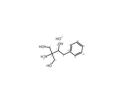 Cl.NC(CO)(CO)C(O)Cc1ccccc1